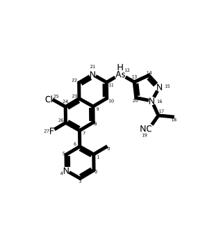 Cc1ccncc1-c1cc2cc([AsH]c3cnn(C(C)C#N)c3)ncc2c(Cl)c1F